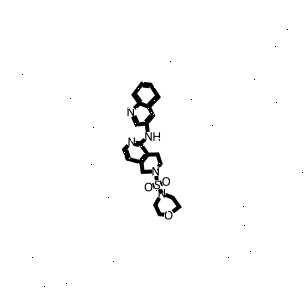 O=S(=O)(N1CCOCC1)N1CCc2c(ccnc2Nc2cnc3ccccc3c2)C1